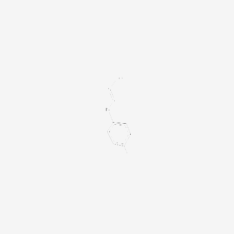 CCCCN=NNc1ccc(Cl)cc1